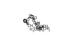 CCOc1ccccc1OCC1CC(C(=O)OCOC(=O)C[C@@H](NC(=O)OC(C)(C)C)C(C)C)CCO1